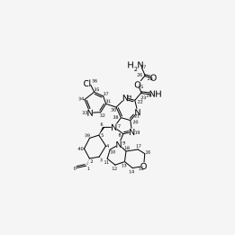 C=C[C@H]1CC[C@H](Cn2c(N3CCCC4COCCC43)nc3nc(C(=N)OC(N)=O)nc(-c4cncc(Cl)c4)c32)CC1